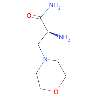 NC(=O)[C@@H](N)CN1CCOCC1